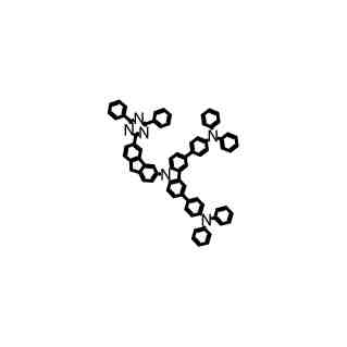 c1ccc(-c2nc(-c3ccccc3)nc(-c3ccc4c(c3)-c3cc(-n5c6ccc(-c7ccc(N(c8ccccc8)c8ccccc8)cc7)cc6c6cc(-c7ccc(N(c8ccccc8)c8ccccc8)cc7)ccc65)ccc3C4)n2)cc1